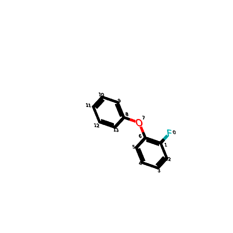 Fc1[c]cccc1Oc1ccccc1